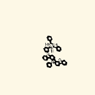 c1ccc(C2NC(c3ccccc3)NC(c3cccc(-n4c5ccccc5c5c4ccc4c6c7oc8ccccc8c7ccc6n(-c6ccccc6)c45)c3)N2)cc1